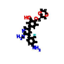 Nc1ccc(-c2cc(-c3ccc(OC[C@H]4COCCO4)c(O)c3)cnc2N)c(F)c1